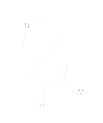 [2H]c1cc2c(cc1OC)CCN(C)C2